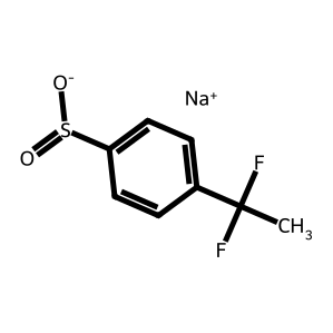 CC(F)(F)c1ccc(S(=O)[O-])cc1.[Na+]